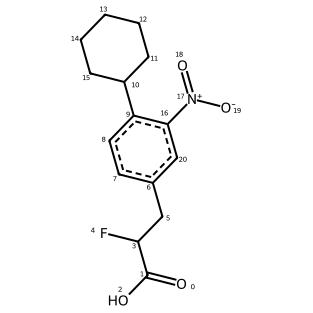 O=C(O)C(F)Cc1ccc(C2CCCCC2)c([N+](=O)[O-])c1